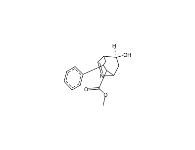 COC(=O)C1C2C[C@H](O)C(C=N2)CC1c1ccccc1